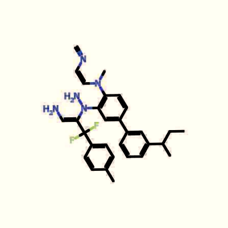 C=N/C=C\N(C)c1ccc(-c2cccc(C(C)CC)c2)cc1N(N)/C(=C\N)C(F)(F)c1ccc(C)cc1